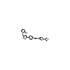 CCc1nccn1Cc1cc(-c2ccc(C#CC3C4CN(C5COC5)CC34)cc2)on1